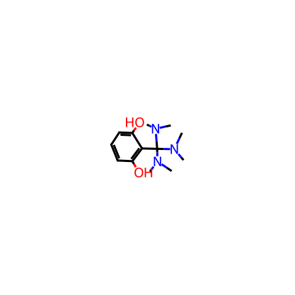 CN(C)C(c1c(O)cccc1O)(N(C)C)N(C)C